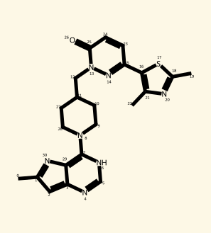 Cc1cc2nc[nH]c(N3CCC(Cn4nc(-c5sc(C)nc5C)ccc4=O)CC3)c-2n1